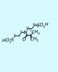 C=C(C)C(=O)N(CCCS(=O)(=O)O)CCCS(=O)(=O)O